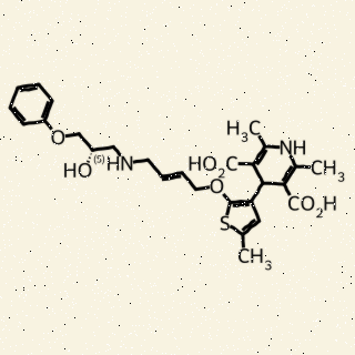 CC1=C(C(=O)O)C(c2cc(C)sc2OCC=CCNC[C@H](O)COc2ccccc2)C(C(=O)O)=C(C)N1